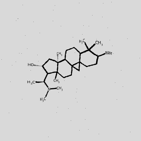 CNC1CCC23CC24CCC2(C)C([C@H](C)N(C)C)[C@H](O)C[C@@]2(C)C4CCC3C1(C)C